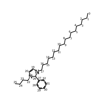 CCCCCCCCCCCCCCCCCCN1C=CN(CCCC)C1c1ccccc1